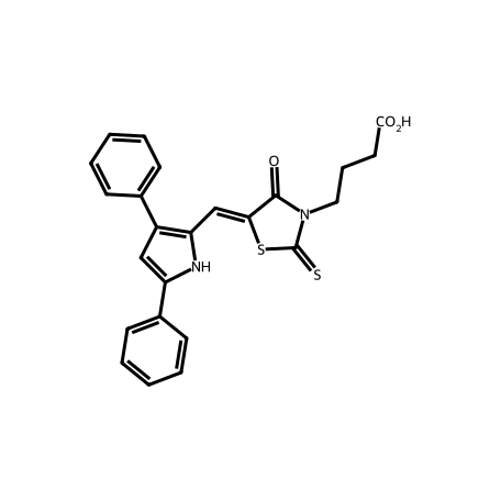 O=C(O)CCCN1C(=O)/C(=C/c2[nH]c(-c3ccccc3)cc2-c2ccccc2)SC1=S